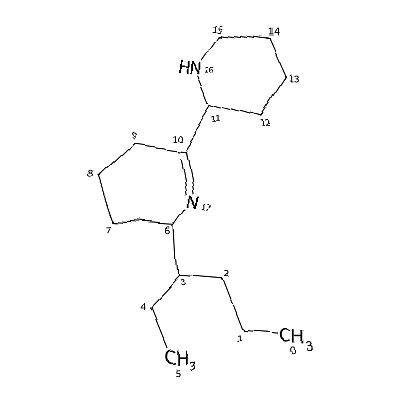 CCCC(CC)C1CCCC(C2CCCCN2)=N1